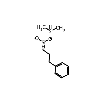 C[SiH](C)O[SiH]([O])CCCc1ccccc1